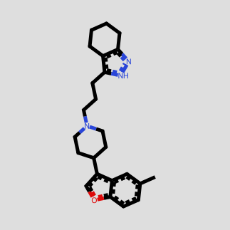 Cc1ccc2occ(C3CCN(CCCc4[nH]nc5c4CCCC5)CC3)c2c1